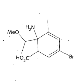 COC(C)C1(N)C(C)=CC(Br)=CC1C(=O)O